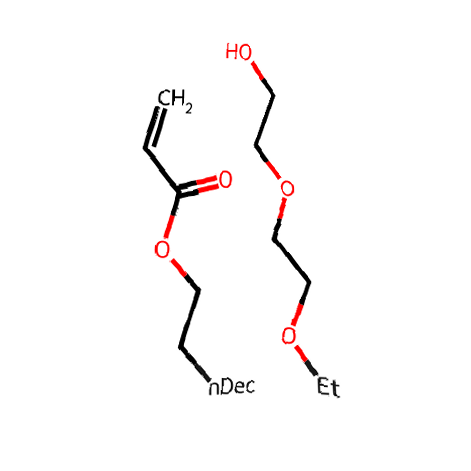 C=CC(=O)OCCCCCCCCCCCC.CCOCCOCCO